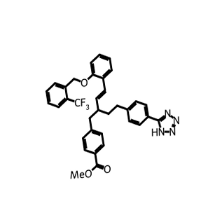 COC(=O)c1ccc(CC(C=Cc2ccccc2OCc2ccccc2C(F)(F)F)CCc2ccc(-c3nnn[nH]3)cc2)cc1